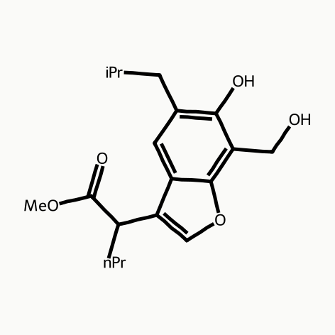 CCCC(C(=O)OC)c1coc2c(CO)c(O)c(CC(C)C)cc12